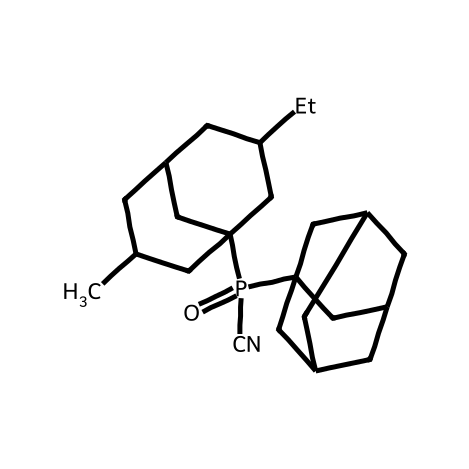 CCC1CC2CC(C)CC(P(=O)(C#N)C34CC5CC(CC(C5)C3)C4)(C1)C2